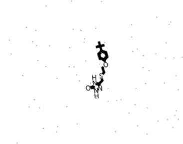 CC(C)(C)c1ccc(OCCSCc2n[nH]c(=O)[nH]2)cc1